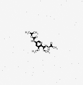 COc1cc(NC(=O)OC(C)C)cnc1/C(=N/NC(C)=O)SC